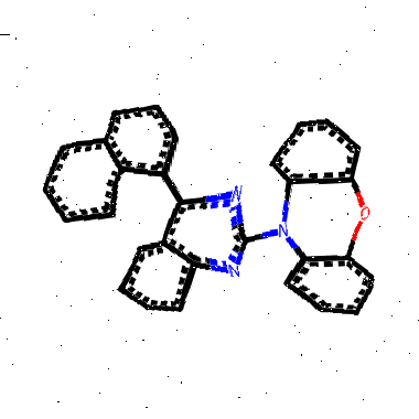 c1ccc2c(c1)Oc1ccccc1N2c1nc(-c2cccc3ccccc23)c2ccccc2n1